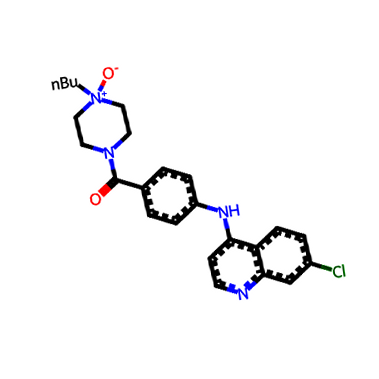 CCCC[N+]1([O-])CCN(C(=O)c2ccc(Nc3ccnc4cc(Cl)ccc34)cc2)CC1